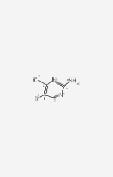 Nc1ncc(Br)c(Cl)n1